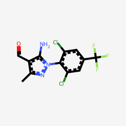 Cc1nn(-c2c(Cl)cc(C(F)(F)F)cc2Cl)c(N)c1C=O